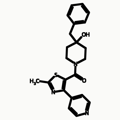 Cc1nc(-c2ccncc2)c(C(=O)N2CCC(O)(Cc3ccccc3)CC2)s1